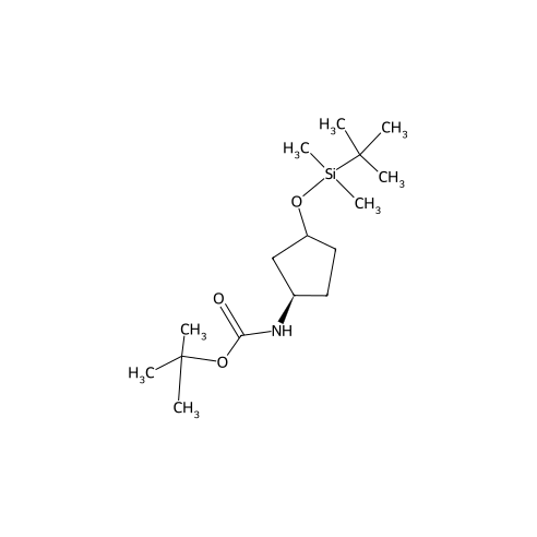 CC(C)(C)OC(=O)N[C@@H]1CCC(O[Si](C)(C)C(C)(C)C)C1